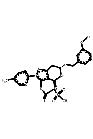 CCOc1cccc(CC[C@H]2Cc3nn(-c4ccc(C)cn4)c(NC(=O)CS(C)(=O)=O)c3C(=O)N2)c1